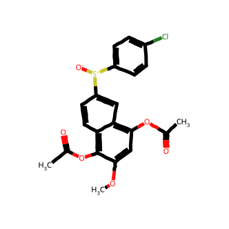 COc1cc(OC(C)=O)c2cc([S+]([O-])c3ccc(Cl)cc3)ccc2c1OC(C)=O